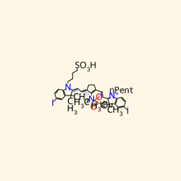 CCCCC[N+]1=C(/C=C/C2=C(N(C)S(=O)(=O)C(C)(C)C)C(=C/C=C3/N(CCCCS(=O)(=O)O)c4ccc(I)cc4C3(C)C)/CC2)C(C)(C)c2cc(I)ccc21